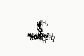 Cc1nnc(-c2ccc(-c3cc(NCC(C)C)c4ncc(-c5ccc(C(=O)NC6CC6)cc5)n4n3)cc2)o1